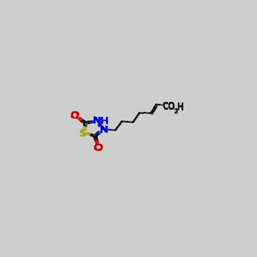 O=C(O)C=CCCCCn1[nH]c(=O)sc1=O